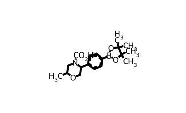 CC1CN(C(=O)O)C(c2ccc(B3OC(C)(C)C(C)(C)O3)cc2)CO1